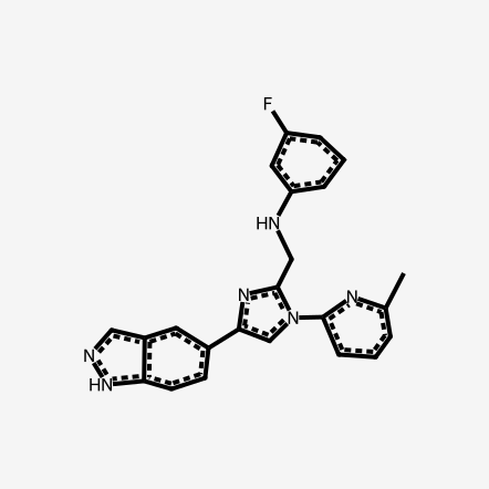 Cc1cccc(-n2cc(-c3ccc4[nH]ncc4c3)nc2CNc2cccc(F)c2)n1